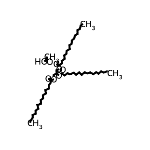 CC(=O)O.CCCCCCCCCCCCCCCCCC(=O)OCC(COC(=O)CCCCCCCCCCCCCCCCC)OC(=O)CCCCCCCCCCCCCCCCC